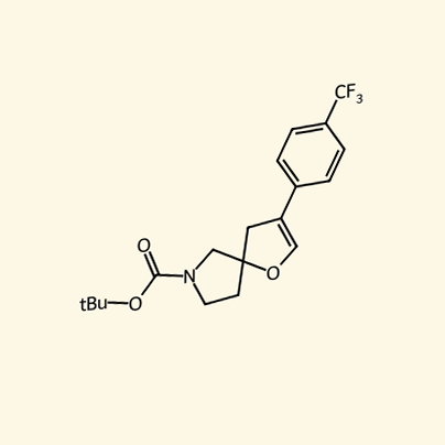 CC(C)(C)OC(=O)N1CCC2(CC(c3ccc(C(F)(F)F)cc3)=CO2)C1